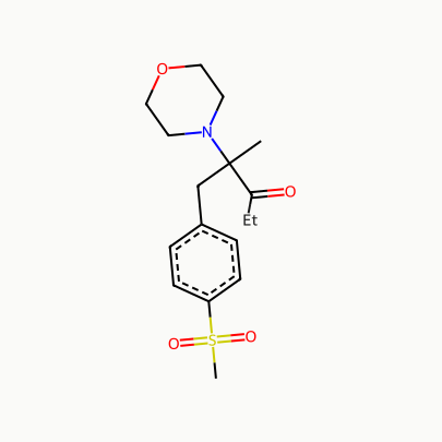 CCC(=O)C(C)(Cc1ccc(S(C)(=O)=O)cc1)N1CCOCC1